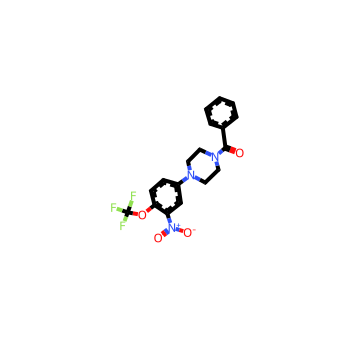 O=C(c1ccccc1)N1CCN(c2ccc(OC(F)(F)F)c([N+](=O)[O-])c2)CC1